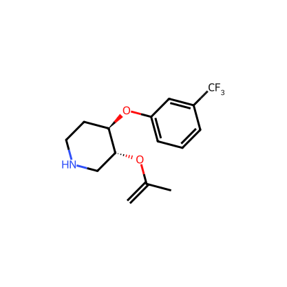 C=C(C)O[C@@H]1CNCC[C@H]1Oc1cccc(C(F)(F)F)c1